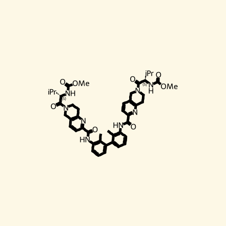 COC(=O)N[C@H](C(=O)N1CCc2nc(C(=O)Nc3cccc(-c4cccc(NC(=O)c5ccc6c(n5)CCN(C(=O)[C@@H](NC(=O)OC)C(C)C)C6)c4C)c3C)ccc2C1)C(C)C